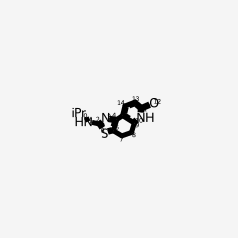 CC(C)Nc1nc2c(s1)CCc1[nH]c(=O)ccc1-2